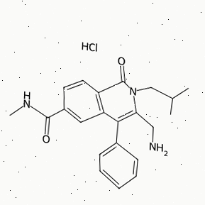 CNC(=O)c1ccc2c(=O)n(CC(C)C)c(CN)c(-c3ccccc3)c2c1.Cl